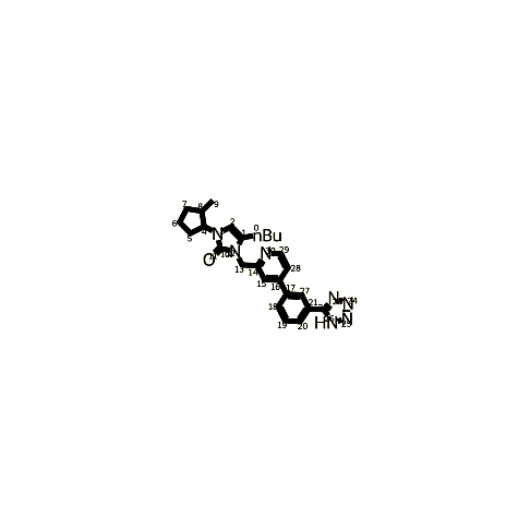 CCCCc1cn(C2CCCC2C)c(=O)n1Cc1cc(-c2cccc(-c3nnn[nH]3)c2)ccn1